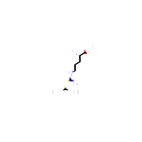 CC(C)SC(=N)NCCC[C@H](N)C(=O)O